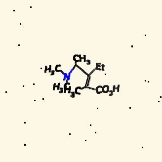 CC/C(=C(/C)C(=O)O)C(C)N(C)C